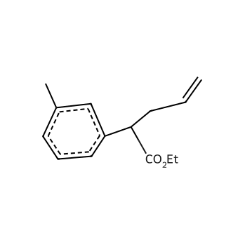 C=CCC(C(=O)OCC)c1cccc(C)c1